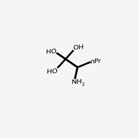 CCCC(N)C(O)(O)O